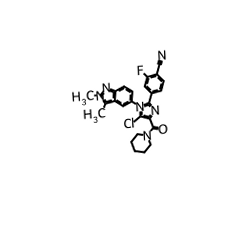 Cc1c2cc(-n3c(-c4ccc(C#N)c(F)c4)nc(C(=O)N4CCCCC4)c3Cl)ccc2nn1C